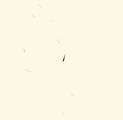 O=C1c2ccc(Nc3cc(N[C@H](CO)c4ccccc4)c(-c4nnco4)cn3)cc2C2CCCCCN12